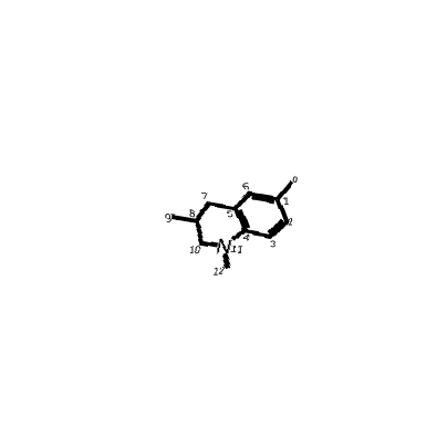 Cc1ccc2c(c1)CC(C)CN2C